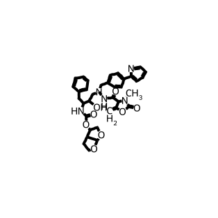 C=C1OC(=O)N(C)C1C(=O)NN(Cc1ccc(-c2ccccn2)cc1)CC(O)C(Cc1ccccc1)NC(=O)OC1COC2OCCC12